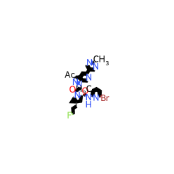 CC(=O)c1nn(CC(=O)N2C3C[C@]3(CCCF)C[C@H]2C(=O)Nc2nc(Br)ccc2C)c2cnc(-c3cnc(C)nc3)cc12